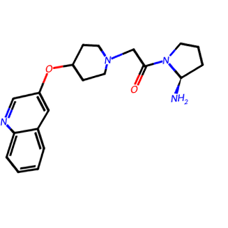 N[C@@H]1CCCN1C(=O)CN1CCC(Oc2cnc3ccccc3c2)CC1